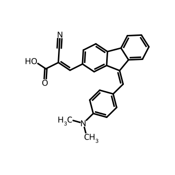 CN(C)c1ccc(C=C2c3ccccc3-c3ccc(/C=C(\C#N)C(=O)O)cc32)cc1